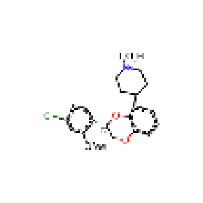 COc1cc(Cl)ccc1[C@H]1COc2cccc(C3CCN(C(=O)O)CC3)c2O1